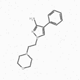 Nc1nn(CCN2CCOCC2)cc1-c1ccccc1